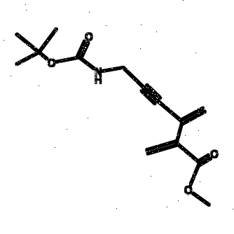 C=C(C#CCNC(=O)OC(C)(C)C)C(=C)C(=O)OC